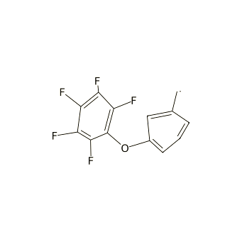 [CH2]c1cccc(Oc2c(F)c(F)c(F)c(F)c2F)c1